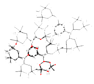 CN1C(C)(C)CC(Oc2nc(N(CCCN(c3nc(OC4CC(C)(C)N(C)C(C)(C)C4)nc(N(C4CC(C)(C)NC(C)(C)C4)C4CC(C)(C)NC(C)(C)C4)n3)C3CC(C)(C)NC(C)(C)C3)CCCN(c3nc(OC4CC(C)(C)N(C)C(C)(C)C4)nc(N(C4CC(C)(C)NC(C)(C)C4)C4CC(C)(C)NC(C)(C)C4)n3)C3CC(C)(C)NC(C)(C)C3)nc(N(C3CC(C)(C)NC(C)(C)C3)C3CC(C)(C)NC(C)(C)C3)n2)CC1(C)C